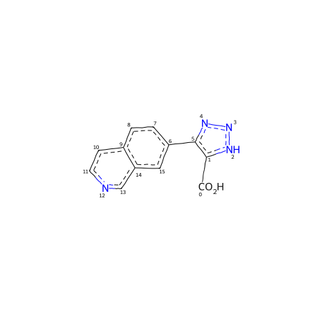 O=C(O)c1[nH]nnc1-c1ccc2ccncc2c1